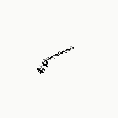 COCCOCCOCCOCCOc1cc(C)c(B2OC(C)(C)C(C)(C)O2)cn1